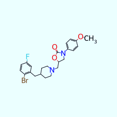 COc1ccc(N2CC(CN3CCC(Cc4cc(F)ccc4Br)CC3)OC2=O)cc1